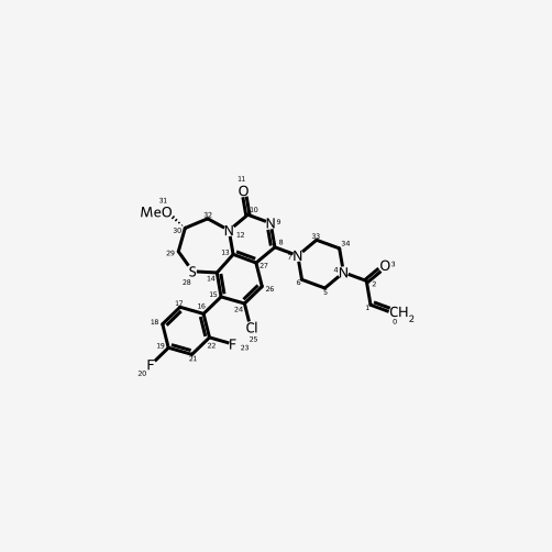 C=CC(=O)N1CCN(c2nc(=O)n3c4c(c(-c5ccc(F)cc5F)c(Cl)cc24)SC[C@H](OC)C3)CC1